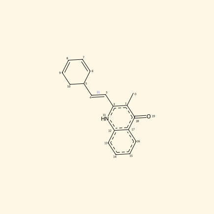 Cc1c(/C=C/C2C=CC=CC2)[nH]c2ccccc2c1=O